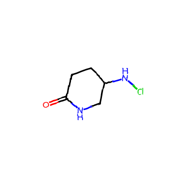 O=C1CCC(NCl)CN1